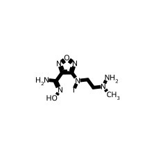 CN(N)CCN(I)c1nonc1/C(N)=N/O